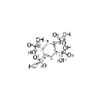 O=P(O)(O)c1cc(S(=O)(=O)O)c(P(=O)(O)O)cc1S(=O)(=O)O